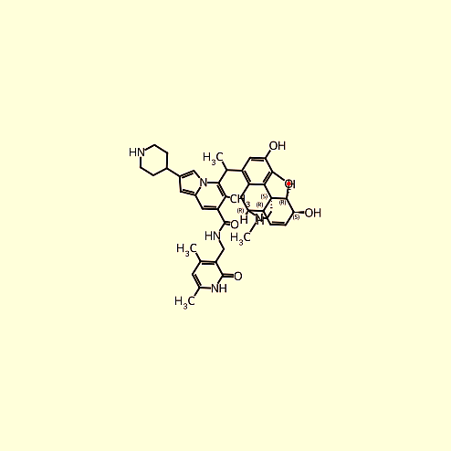 Cc1cc(C)c(CNC(=O)c2cc3cc(C4CCNCC4)cn3c(C(C)c3cc(O)c4c5c3C[C@@H]3[C@@H]6C=C[C@H](O)[C@H](O4)[C@]56CCN3C)c2C)c(=O)[nH]1